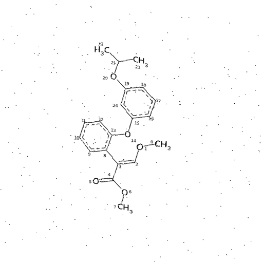 CO/C=C(/C(=O)OC)c1ccccc1Oc1cccc(OC(C)C)c1